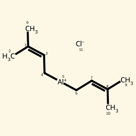 CC(C)=C[CH2][Al+][CH2]C=C(C)C.[Cl-]